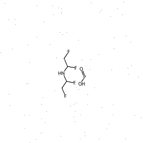 FCC(F)NC(F)CF.O=PO